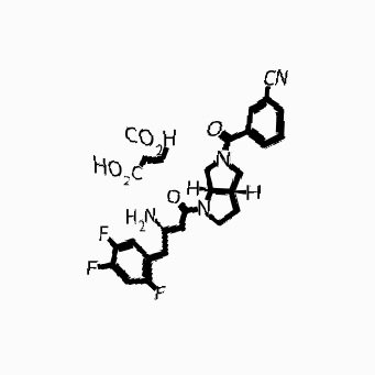 N#Cc1cccc(C(=O)N2C[C@@H]3CCN(C(=O)C[C@H](N)Cc4cc(F)c(F)cc4F)[C@@H]3C2)c1.O=C(O)/C=C/C(=O)O